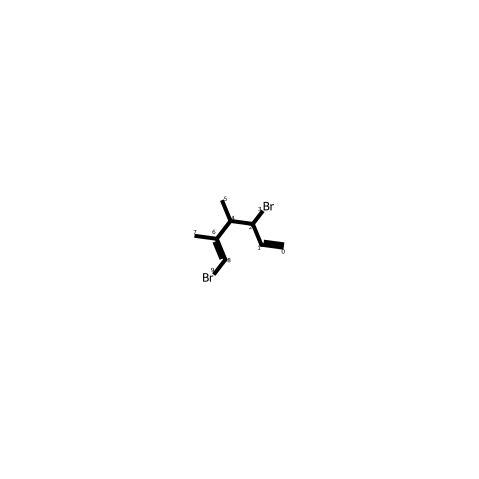 C=CC(Br)C(C)C(C)=CBr